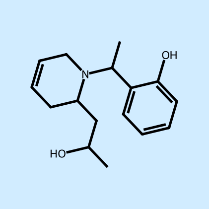 CC(O)CC1CC=CCN1C(C)c1ccccc1O